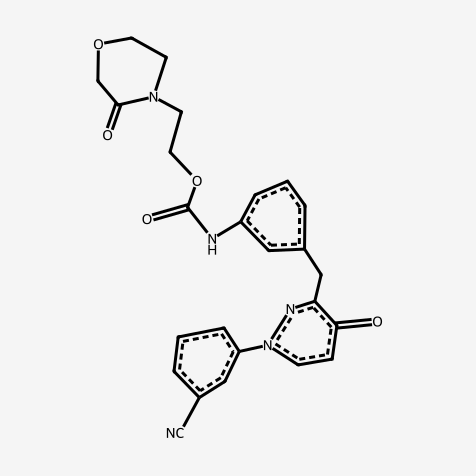 N#Cc1cccc(-n2ccc(=O)c(Cc3cccc(NC(=O)OCCN4CCOCC4=O)c3)n2)c1